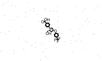 O=C(O)c1ccc(N2C[C@@H](Oc3ccc(C(F)(F)F)cc3)C[C@H]2CO)cc1